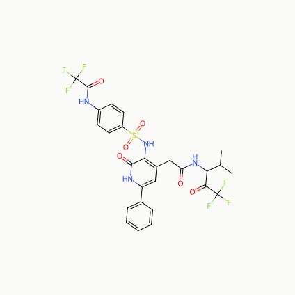 CC(C)C(NC(=O)Cc1cc(-c2ccccc2)[nH]c(=O)c1NS(=O)(=O)c1ccc(NC(=O)C(F)(F)F)cc1)C(=O)C(F)(F)F